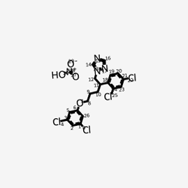 Clc1cc(Cl)cc(OCCCC(Cn2cncn2)c2ccc(Cl)cc2Cl)c1.O=[N+]([O-])O